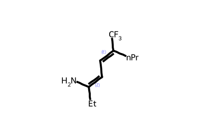 CCC/C(=C\C=C(/N)CC)C(F)(F)F